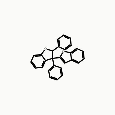 c1ccc(C2Oc3ccccc3C2(c2ccccc2)c2cc3ccccc3o2)cc1